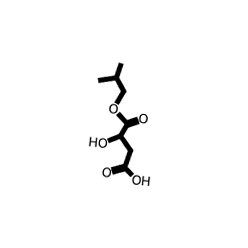 CC(C)COC(=O)C(O)CC(=O)O